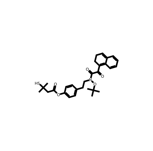 CC(C)(S)CC(=O)Oc1ccc(CCN(OC(C)(C)C)C(=O)C(=O)C2=c3ccccc3=CCC2)cc1